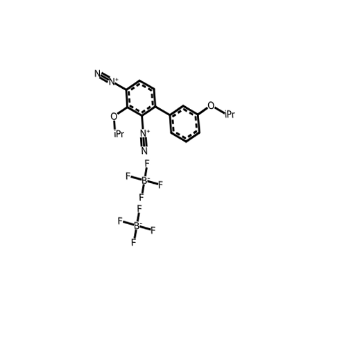 CC(C)Oc1cccc(-c2ccc([N+]#N)c(OC(C)C)c2[N+]#N)c1.F[B-](F)(F)F.F[B-](F)(F)F